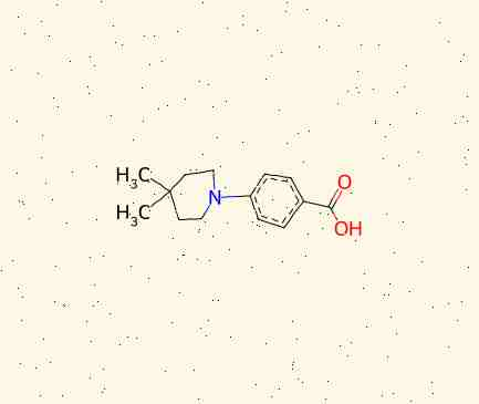 CC1(C)CCN(c2ccc(C(=O)O)cc2)CC1